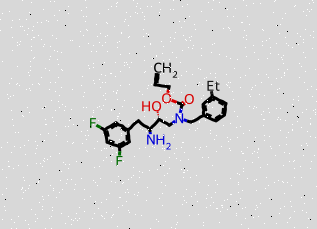 C=CCOC(=O)N(Cc1cccc(CC)c1)C[C@@H](O)C(N)Cc1cc(F)cc(F)c1